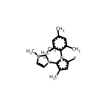 Cc1cc(C)c(-n2c(F)cc(C)c2N2C=CN(C)[C@@H]2C)c(C)c1